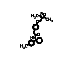 Cc1ccc(C2(NC(=O)Cc3ccc(OCc4c(C)noc4C)cc3)CCCCC2)cc1